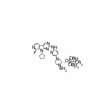 BN1CCN(c2ccc(Nc3ncc4c5ccnc(F)c5n(C5CCCC5)c4n3)nc2)C[C@@H]1CO[Si](C)(C)C(C)(C)C